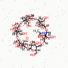 CC(=O)N[C@H]1[C@H](O)[C@H]2O[C@H]3[C@H](O)[C@@H](O)[C@@H](O[C@H]4[C@H](O)[C@@H](O)[C@@H](O[C@H]5[C@H](O)[C@@H](O)[C@@H](O[C@H]6[C@H](O)[C@@H](O)[C@@H](O[C@H]7[C@H](O)[C@@H](O)[C@@H](O[C@@H]1[C@@H](CO)O2)O[C@@H]7CO)O[C@@H]6CO)O[C@@H]5CO)O[C@@H]4CO)O[C@@H]3CO